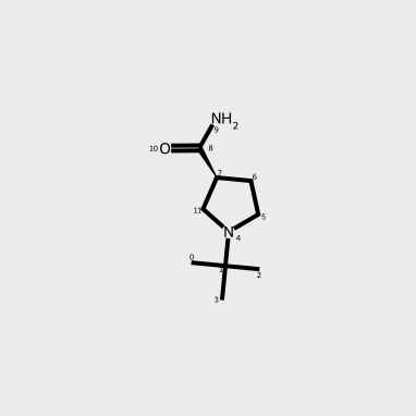 CC(C)(C)N1CC[C@H](C(N)=O)C1